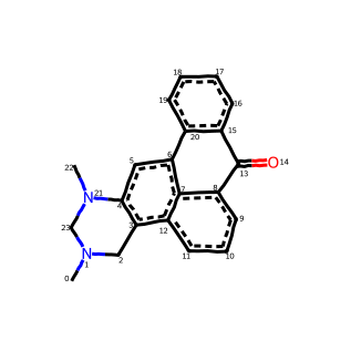 CN1Cc2c(cc3c4c(cccc24)C(=O)c2ccccc2-3)N(C)C1